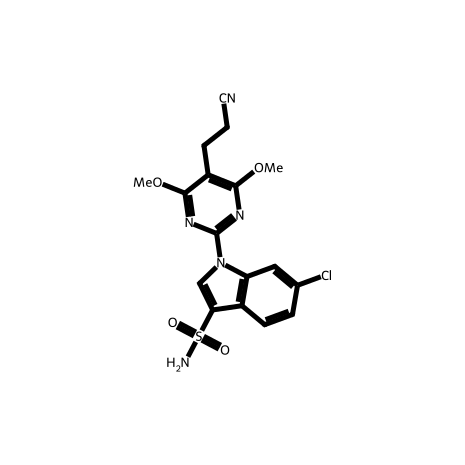 COc1nc(-n2cc(S(N)(=O)=O)c3ccc(Cl)cc32)nc(OC)c1CCC#N